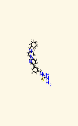 NC(=S)N/N=C/c1cccc(-c2ccc(N3CCN(CC4CCCCC4)CC3)nc2)c1